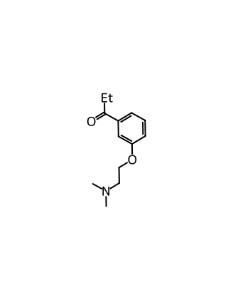 CCC(=O)c1cccc(OCCN(C)C)c1